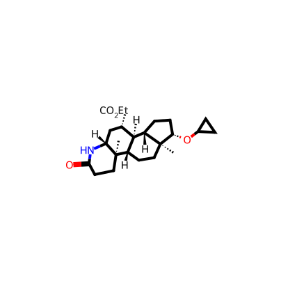 CCOC(=O)[C@H]1C[C@H]2NC(=O)CC[C@]2(C)[C@H]2CC[C@]3(C)[C@@H](OC4CC4)CC[C@H]3[C@H]12